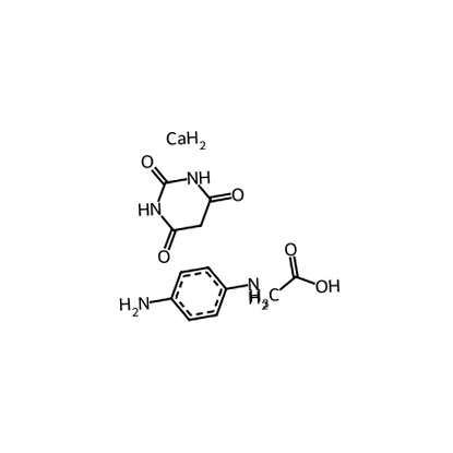 CC(=O)O.Nc1ccc(N)cc1.O=C1CC(=O)NC(=O)N1.[CaH2]